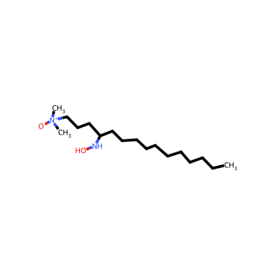 CCCCCCCCCCCC(CCC[N+](C)(C)[O-])NO